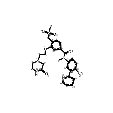 CN(C(=O)c1ccc(CS(C)(=O)=O)c(OCCN2CCNC(=O)C2)c1)c1ccc(C#N)c(-c2ccccn2)c1